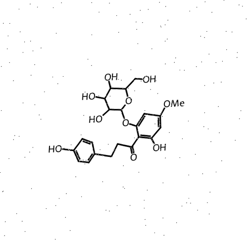 COc1cc(O)c(C(=O)CCc2ccc(O)cc2)c(OC2OC(CO)C(O)C(O)C2O)c1